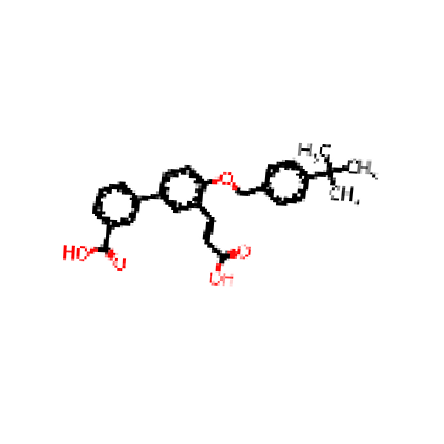 CC(C)(C)c1ccc(COc2ccc(-c3cccc(C(=O)O)c3)cc2C=CC(=O)O)cc1